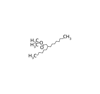 CCCCCCCCC(CCCCCC)CC(=O)OC(C)C